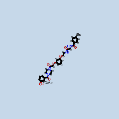 COc1c(O)cccc1C(=O)N1CCN(C(=O)COc2cccc(OCCNC(=O)CNC(=O)c3ccc(C(C)(C)C)cc3)c2)CC1